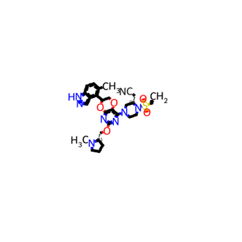 C=CS(=O)(=O)N1CCN(c2nc(OC[C@@H]3CCCN3C)nc3c2OCC(c2c(C)ccc4[nH]ncc24)O3)C[C@@H]1CC#N